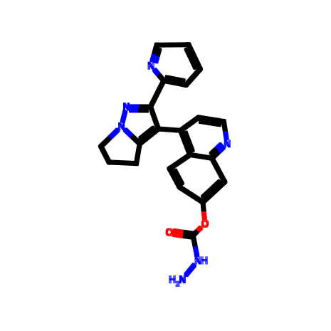 NNC(=O)Oc1ccc2c(-c3c(-c4ccccn4)nn4c3CCC4)ccnc2c1